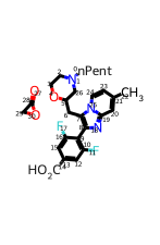 CCCCCN1CCOC(Cc2c(-c3c(F)cc(C(=O)O)cc3F)nc3cc(C)ccn23)C1.O=C1CO1